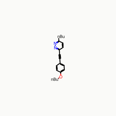 CCCCOc1ccc(C#Cc2ccc(CCCC)nn2)cc1